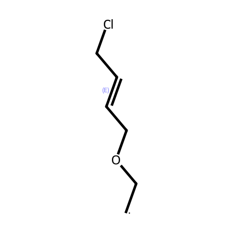 [CH2]COC/C=C/CCl